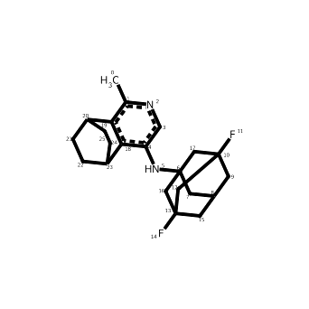 Cc1ncc(NC23CC4CC(F)(CC(F)(C4)C2)C3)c2c1C1CCC2CC1